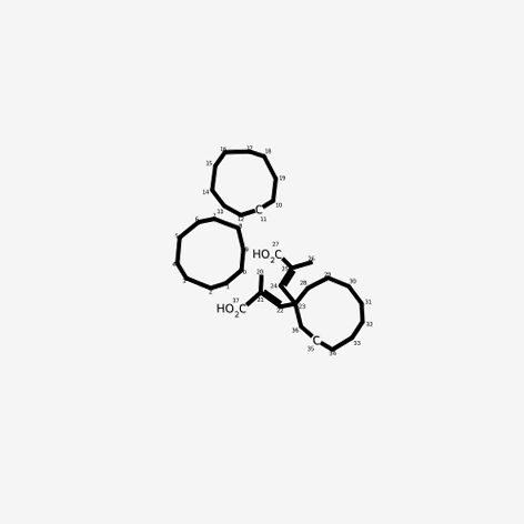 C1CCCCCCCCC1.C1CCCCCCCCC1.CC(=CC1(C=C(C)C(=O)O)CCCCCCCCC1)C(=O)O